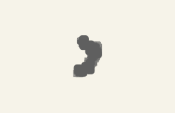 C=CC(=O)OCCOC(=O)c1ccccc1OC(=O)C1CCC(C2CCC(C(=O)OCCOC(=O)C=C)CC2)CC1